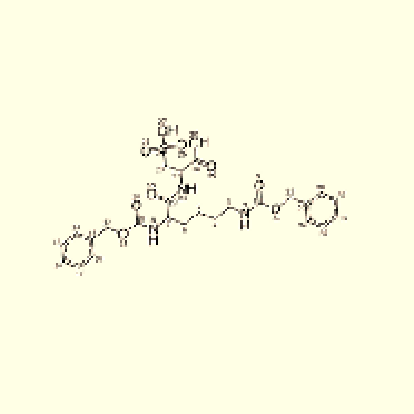 O=C(NCCCCC(NC(=O)OCc1ccccc1)C(=O)NC(CS(=O)(=O)O)C(=O)O)OCc1ccccc1